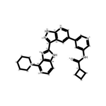 O=C(Nc1cncc(-c2cnc3[nH]nc(-c4nc5c(N6CCCCC6)nccc5[nH]4)c3c2)c1)C1CCC1